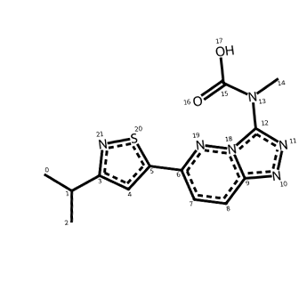 CC(C)c1cc(-c2ccc3nnc(N(C)C(=O)O)n3n2)sn1